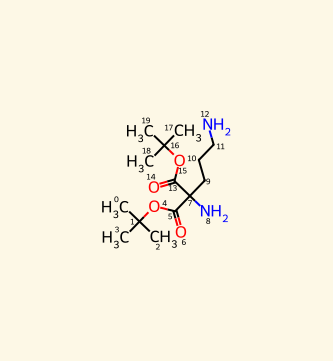 CC(C)(C)OC(=O)C(N)(CCCN)C(=O)OC(C)(C)C